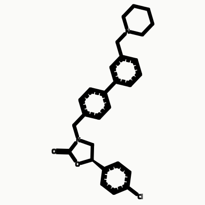 O=C1O[C@H](c2ccc(Cl)cc2)CN1Cc1ccc(-c2cccc(CN3CCCCC3)c2)cc1